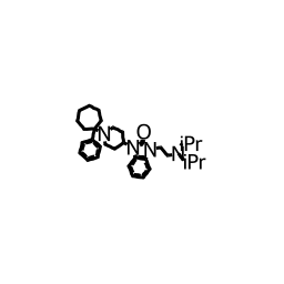 CC(C)N(CCn1c(=O)n(C2CCN(C3(c4ccccc4)CCCCCC3)CC2)c2ccccc21)C(C)C